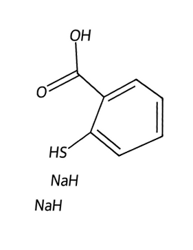 O=C(O)c1ccccc1S.[NaH].[NaH]